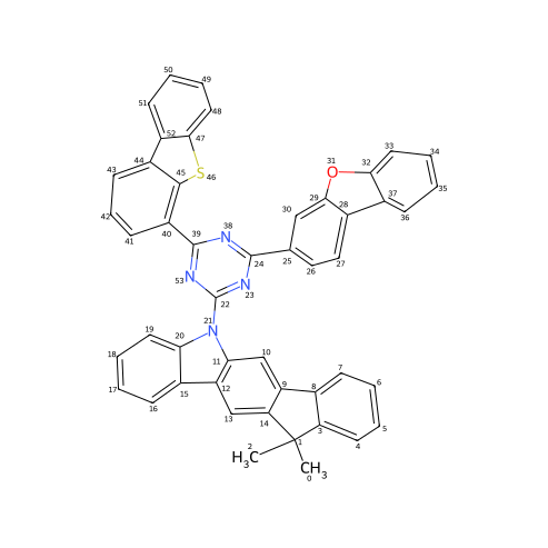 CC1(C)c2ccccc2-c2cc3c(cc21)c1ccccc1n3-c1nc(-c2ccc3c(c2)oc2ccccc23)nc(-c2cccc3c2sc2ccccc23)n1